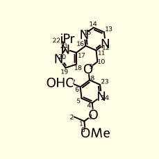 COC(C)Oc1cc(C=O)c(OCc2nccnc2-c2ccnn2C(C)C)cn1